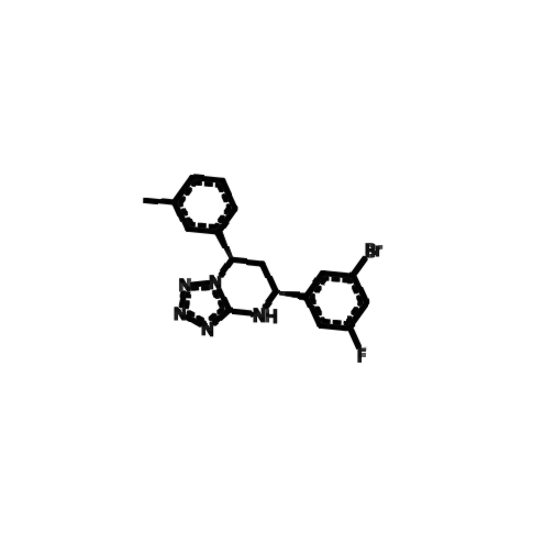 Cc1cccc([C@H]2C[C@@H](c3cc(F)cc(Br)c3)Nc3nnnn32)c1